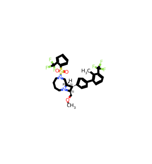 COC[C@@H]1[C@@H](c2ccc(-c3cccc(C(F)(F)F)c3C)cc2)[C@@H]2CN(S(=O)(=O)c3ccccc3C(F)(F)F)CCCCN12